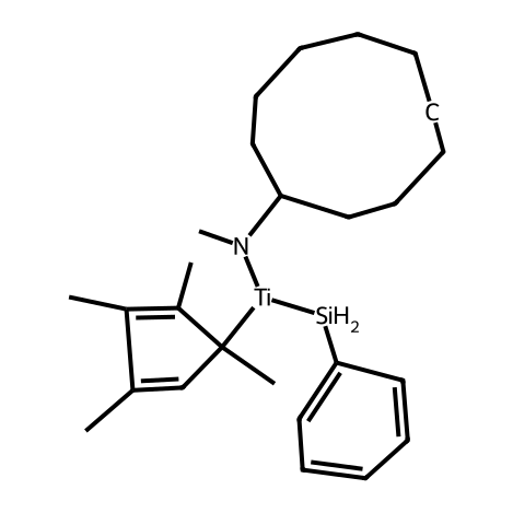 CC1=C[C](C)([Ti]([SiH2]c2ccccc2)[N](C)C2CCCCCCCCC2)C(C)=C1C